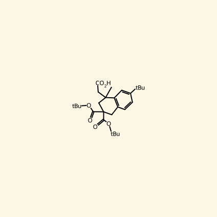 CC(C)(C)OC(=O)C1(C(=O)OC(C)(C)C)Cc2ccc(C(C)(C)C)cc2C(C)(CC(=O)O)C1